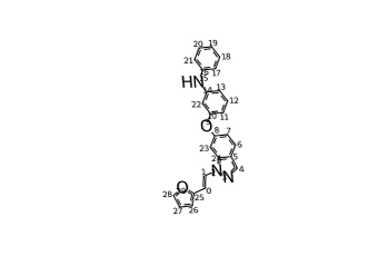 C(=Cn1ncc2ccc(Oc3cccc(Nc4ccccc4)c3)cc21)c1ccco1